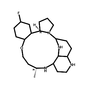 C[C@@H]1CCOC2CCC(F)CC2[C@H]2CCCN2C2CCC3NCCC(N1)C3N2